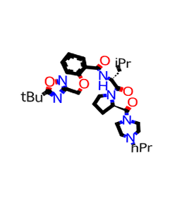 CCCN1CCN(C(=O)[C@H]2CCCN2C(=O)[C@@H](CC(C)C)NC(=O)c2ccccc2OCc2noc(C(C)(C)C)n2)CC1